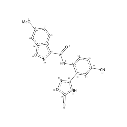 COc1ccc2c(C(=O)Nc3ccc(C#N)cc3-c3noc(=O)[nH]3)noc2c1